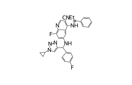 CC[C@@H](Nc1c(C#N)cnc2c(F)cc(NC(c3ccc(F)cc3)c3cn(C4CC4)nn3)cc12)c1ccccc1